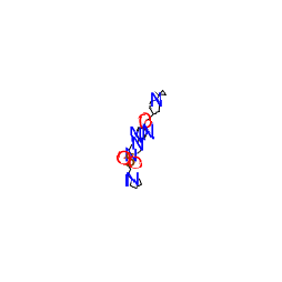 CC1(N2CCC(COc3cnc(N4CCN(S(=O)(=O)CCCN5CCCC5)CC4)cn3)CC2)CC1